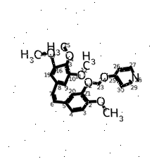 COc1ccc(/C=C\c2cc(OC)c(OC)c(OC)c2)cc1OCOc1ccncc1